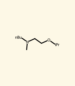 CCCCN(C)CCOC(C)C